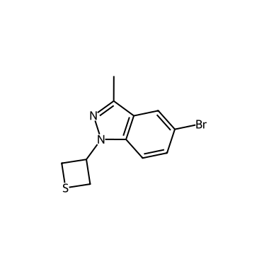 Cc1nn(C2CSC2)c2ccc(Br)cc12